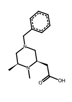 C[C@H]1CN(Cc2ccccc2)C[C@@H](CC(=O)O)N1C